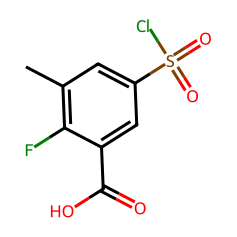 Cc1cc(S(=O)(=O)Cl)cc(C(=O)O)c1F